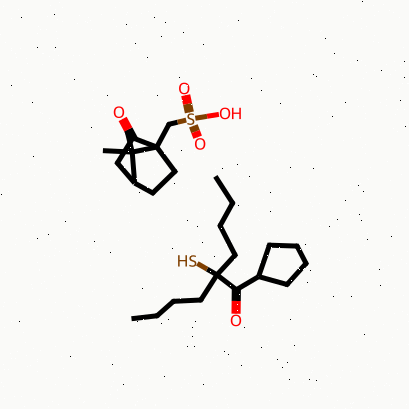 CC1(C)C2CCC1(CS(=O)(=O)O)C(=O)C2.CCCCC(S)(CCCC)C(=O)C1CCCC1